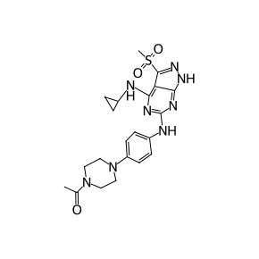 CC(=O)N1CCN(c2ccc(Nc3nc(NC4CC4)c4c(S(C)(=O)=O)n[nH]c4n3)cc2)CC1